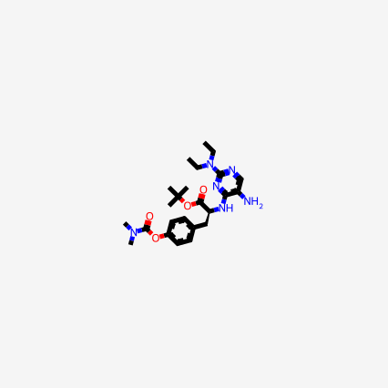 CCN(CC)c1ncc(N)c(N[C@@H](Cc2ccc(OC(=O)N(C)C)cc2)C(=O)OC(C)(C)C)n1